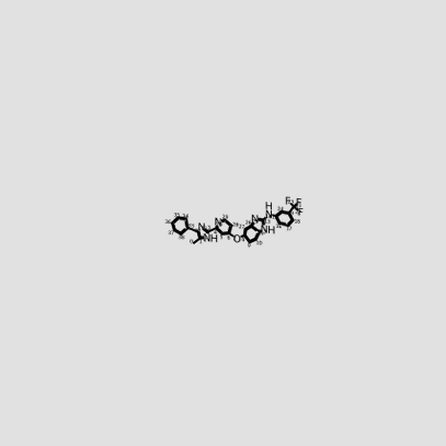 Cc1[nH]c(-c2cc(Oc3ccc4[nH]c(Nc5cccc(C(F)(F)F)c5)nc4c3)ccn2)nc1-c1ccccc1